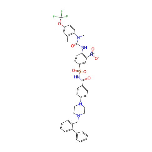 Cc1cc(OC(F)(F)F)ccc1N(C)C(=O)Nc1ccc(S(=O)(=O)NC(=O)c2ccc(N3CCN(Cc4ccccc4-c4ccccc4)CC3)cc2)cc1[N+](=O)[O-]